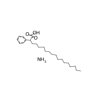 CCCCCCCCCCCCCCCCC(c1ccccc1)S(=O)(=O)O.N